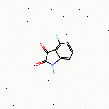 O=C1C(=O)N(F)c2cccc(F)c21